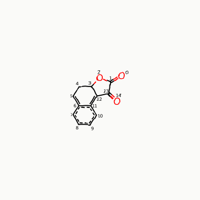 O=C1OC2CC=c3ccccc3=C2C1=O